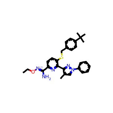 CCO/N=C(\N)c1ccc(SCc2ccc(C(C)(C)C)cc2)c(-c2nn(-c3ccccc3)cc2C)n1